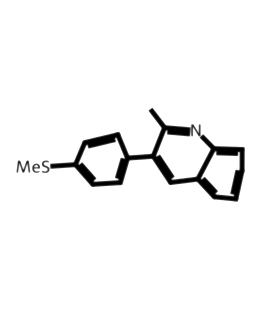 CSc1ccc(-c2cc3ccccc3nc2C)cc1